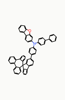 c1ccc(-c2ccc(N(c3ccc(-c4ccc5c(c4)C4(c6ccccc6-c6ccccc6-c6ccccc64)c4ccccc4-5)cc3)c3ccc4c(c3)oc3ccccc34)cc2)cc1